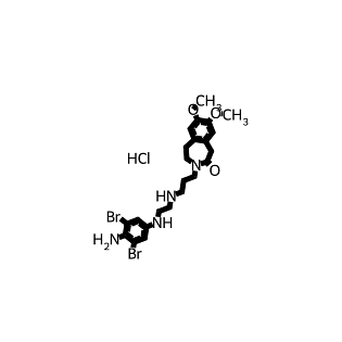 COc1cc2c(cc1OC)CC(=O)N(CCCNCCNc1cc(Br)c(N)c(Br)c1)CC2.Cl